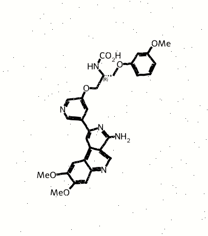 COc1cccc(OC[C@H](COc2cncc(-c3cc4c(cnc5cc(OC)c(OC)cc54)c(N)n3)c2)NC(=O)O)c1